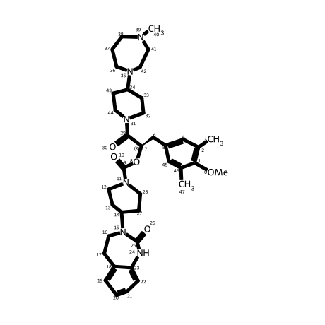 COc1c(C)cc(C[C@@H](OC(=O)N2CCC(N3CCc4ccccc4NC3=O)CC2)C(=O)N2CCC(N3CCCN(C)CC3)CC2)cc1C